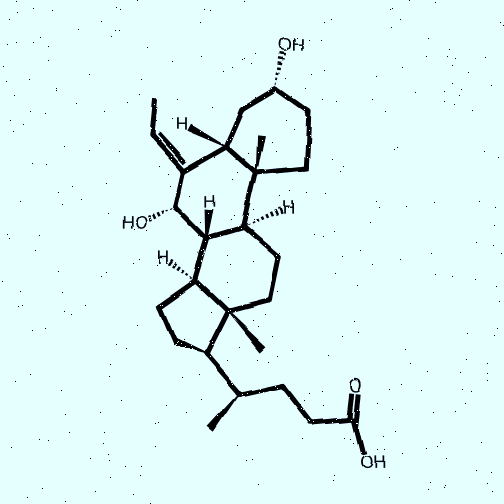 C/C=C1/[C@@H](O)[C@@H]2[C@H](CC[C@]3(C)[C@@H]([C@H](C)CCC(=O)O)CC[C@@H]23)[C@@]2(C)CC[C@@H](O)C[C@@H]12